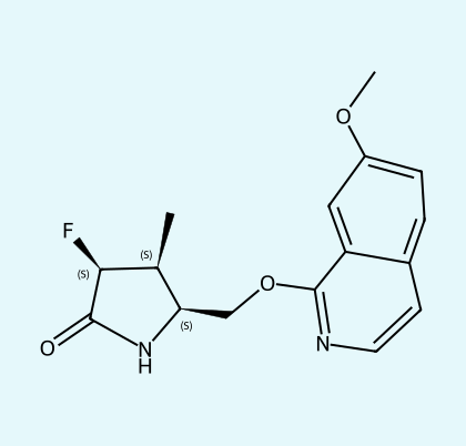 COc1ccc2ccnc(OC[C@H]3NC(=O)[C@@H](F)[C@H]3C)c2c1